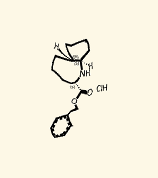 Cl.O=C(OCc1ccccc1)[C@@H]1CCC[C@@H]2CCC[C@H]2N1